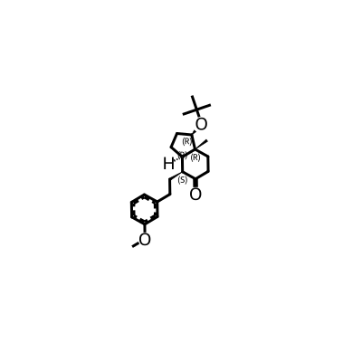 COc1cccc(CC[C@@H]2C(=O)CC[C@]3(C)[C@@H]2CC[C@H]3OC(C)(C)C)c1